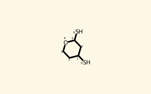 SC1CCOC(S)C1